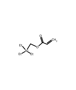 C=CC(=O)OC[N+](CC)(CC)CC